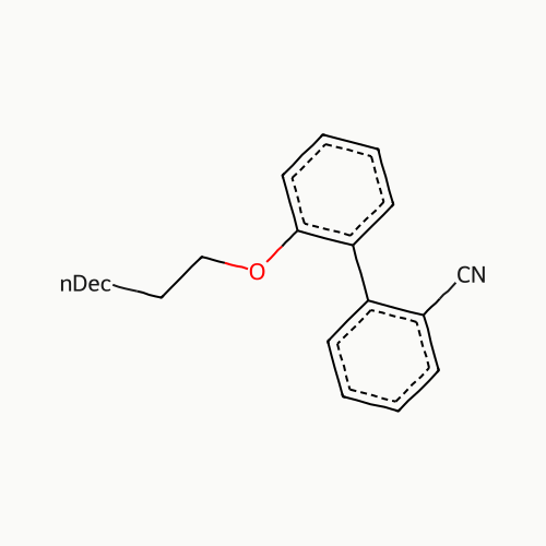 CCCCCCCCCCCCOc1ccccc1-c1ccccc1C#N